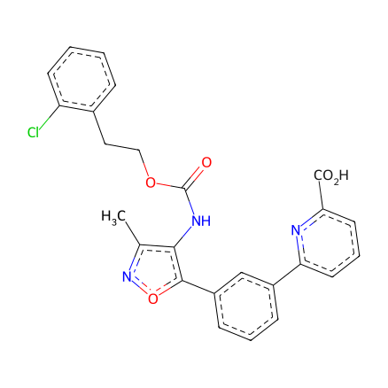 Cc1noc(-c2cccc(-c3cccc(C(=O)O)n3)c2)c1NC(=O)OCCc1ccccc1Cl